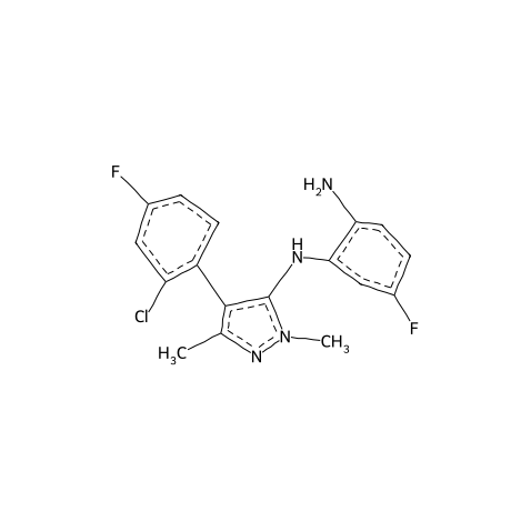 Cc1nn(C)c(Nc2cc(F)ccc2N)c1-c1ccc(F)cc1Cl